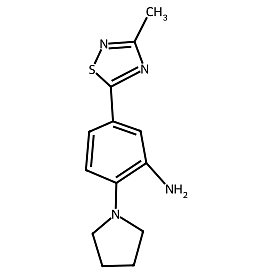 Cc1nsc(-c2ccc(N3CCCC3)c(N)c2)n1